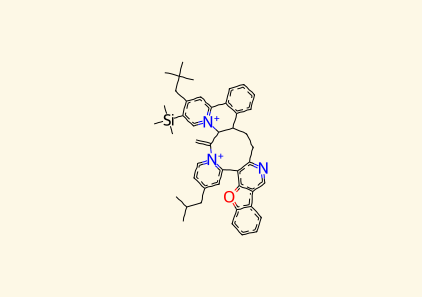 C=C1C2C(CCc3ncc4c(oc5ccccc54)c3-c3cc(CC(C)C)cc[n+]31)c1ccccc1-c1cc(CC(C)(C)C)c([Si](C)(C)C)c[n+]12